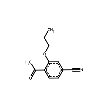 CCCOc1cc(C#N)ccc1C(C)=O